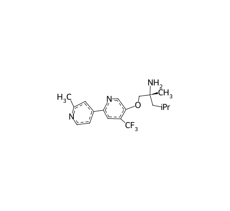 Cc1cc(-c2cc(C(F)(F)F)c(OC[C@](C)(N)CC(C)C)cn2)ccn1